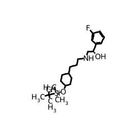 CC(C)(C)[Si](C)(C)OC1CCC(CCCNC[C@H](O)c2cccc(F)c2)CC1